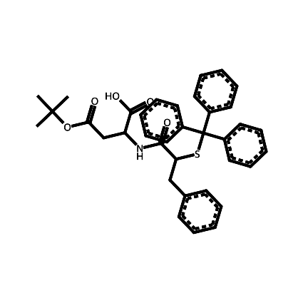 CC(C)(C)OC(=O)CC(NC(=O)C(Cc1ccccc1)SC(c1ccccc1)(c1ccccc1)c1ccccc1)C(=O)O